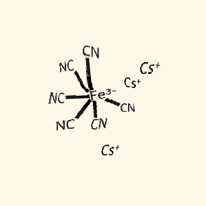 N#[C][Fe-3]([C]#N)([C]#N)([C]#N)([C]#N)[C]#N.[Cs+].[Cs+].[Cs+]